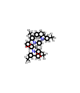 Cc1cc2c3c(c1)N(c1ccc(C(C)(C)C)cc1-c1ccccc1)c1cc4c(cc1B3c1ccc(N3c5ccc(C(C)(C)C)cc5C5(C)CCc6ccccc6C35C)cc1N2c1ccc(C(C)(C)C)cc1-c1ccccc1)CC(C)(C)C4